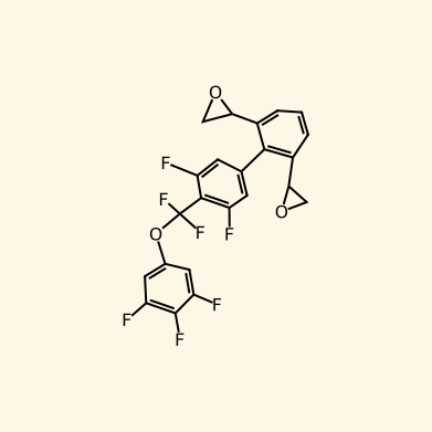 Fc1cc(OC(F)(F)c2c(F)cc(-c3c(C4CO4)cccc3C3CO3)cc2F)cc(F)c1F